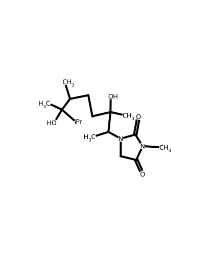 CC(N1CC(=O)N(C)C1=O)C(C)(O)CCC(C)C(C)(O)C(C)C